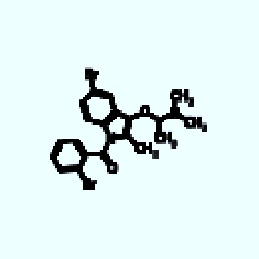 Cc1c(OC(C)N(C)C)c2cc(Br)ccc2n1C(=O)c1ccccc1Br